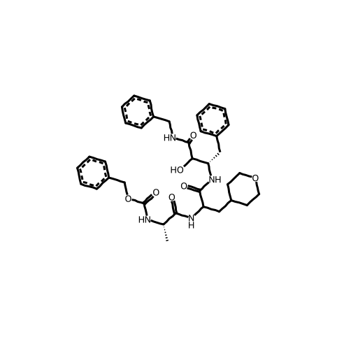 C[C@H](NC(=O)OCc1ccccc1)C(=O)NC(CC1CCOCC1)C(=O)N[C@@H](Cc1ccccc1)C(O)C(=O)NCc1ccccc1